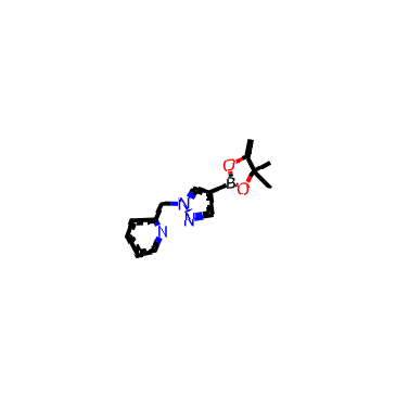 C=C1OB(c2cnn(Cc3ccccn3)c2)OC1(C)C